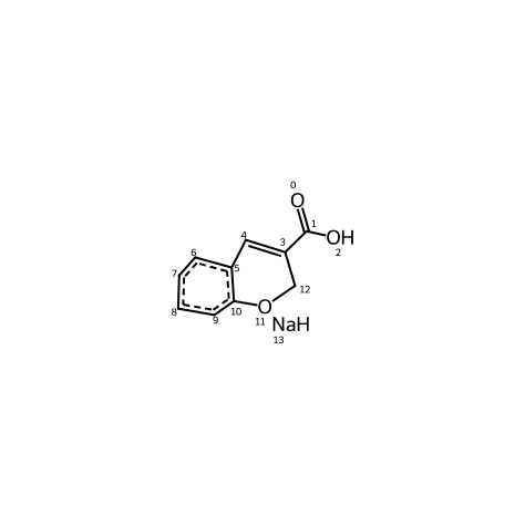 O=C(O)C1=Cc2ccccc2OC1.[NaH]